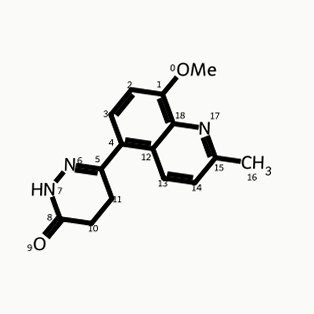 COc1ccc(C2=NNC(=O)CC2)c2ccc(C)nc12